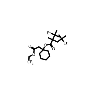 CCC(C)(C)CC(C)(C(=O)OC1(CC(=O)OCC(F)(F)F)CCCCC1)C(C)(C)CC